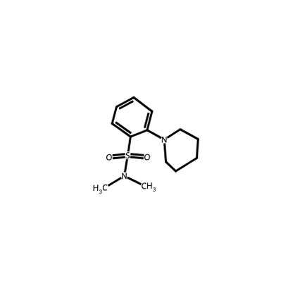 CN(C)S(=O)(=O)c1ccccc1N1CCCCC1